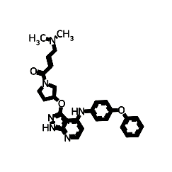 CN(C)CC=CC(=O)N1CCC(Oc2n[nH]c3nccc(Nc4ccc(Oc5ccccc5)cc4)c23)C1